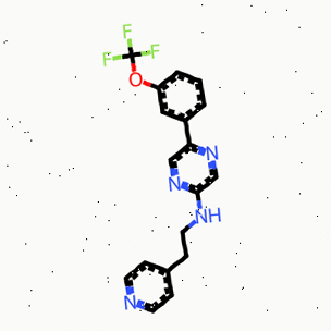 FC(F)(F)Oc1cccc(-c2cnc(NCCc3ccncc3)cn2)c1